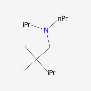 CCCN(CC(C)(C)C(C)C)C(C)C